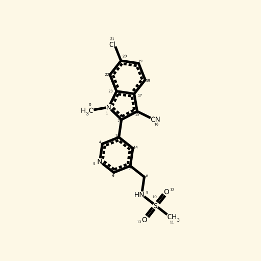 Cn1c(-c2cncc(CNS(C)(=O)=O)c2)c(C#N)c2ccc(Cl)cc21